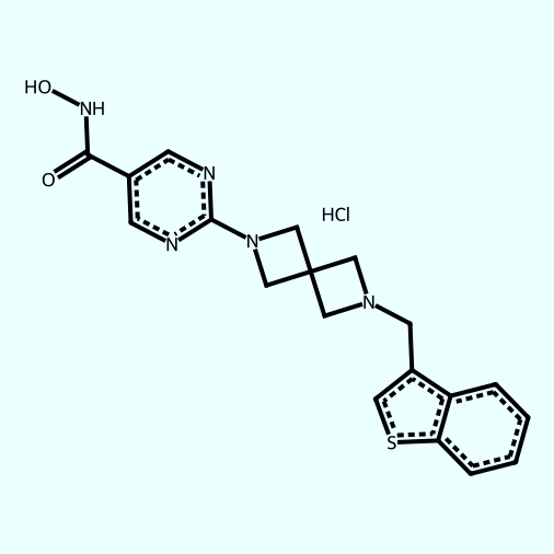 Cl.O=C(NO)c1cnc(N2CC3(CN(Cc4csc5ccccc45)C3)C2)nc1